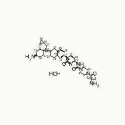 CC(C)(N)C(=O)N1CCN(C(=O)Nc2ccn(-c3ccc4c(c3)CCC(N(CC3CC3)[C@H]3CC[C@H](N)CC3)C4)c(=O)n2)CC1.Cl